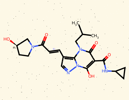 CC(C)Cn1c(=O)c(C(=O)NC2CC2)c(O)n2ncc(/C=C/C(=O)N3CC[C@@H](O)C3)c12